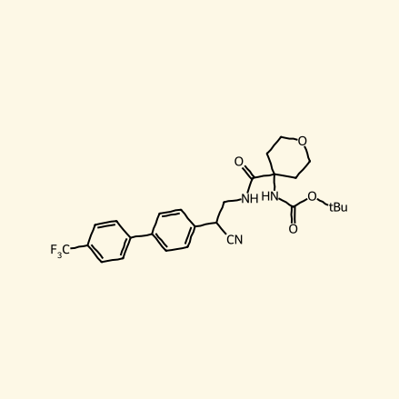 CC(C)(C)OC(=O)NC1(C(=O)NCC(C#N)c2ccc(-c3ccc(C(F)(F)F)cc3)cc2)CCOCC1